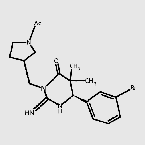 CC(=O)N1CCC(CN2C(=N)N[C@H](c3cccc(Br)c3)C(C)(C)C2=O)C1